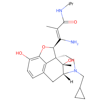 C/C(C(=O)NC(C)C)=C(/N)[C@@H]1Oc2c(O)ccc3c2[C@@]12CCN(CC1CC1)[C@H](C3)[C@@]2(C)O